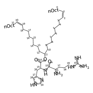 CCCCCCCC/C=C\CCCCCCCCC(CCCCCCC/C=C\CCCCCCCC)OC(=O)C(Cc1c[nH]cn1)NC(=O)C(N)CCCNC(=N)N